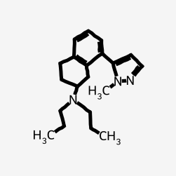 CCCN(CCC)C1CCc2cccc(-c3ccnn3C)c2C1